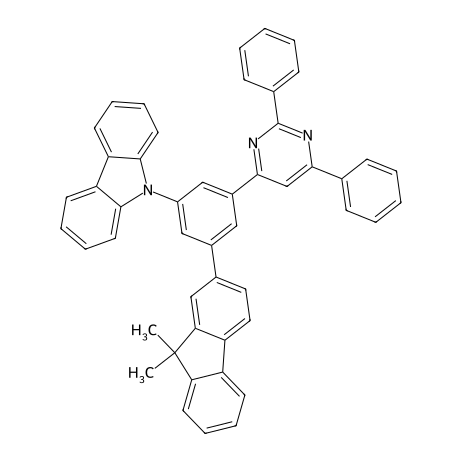 CC1(C)c2ccccc2-c2ccc(-c3cc(-c4cc(-c5ccccc5)nc(-c5ccccc5)n4)cc(-n4c5ccccc5c5ccccc54)c3)cc21